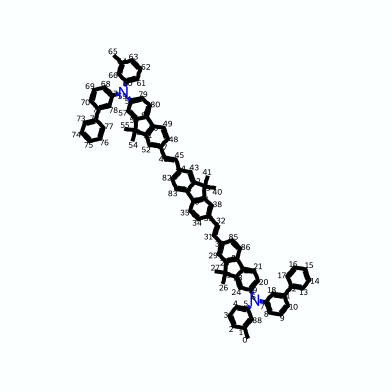 Cc1cccc(N(c2cccc(-c3ccccc3)c2)c2ccc3c(c2)C(C)(C)c2cc(/C=C/c4ccc5c(c4)C(C)(C)c4cc(/C=C/c6ccc7c(c6)C(C)(C)c6cc(N(c8cccc(C)c8)c8cccc(-c9ccccc9)c8)ccc6-7)ccc4-5)ccc2-3)c1